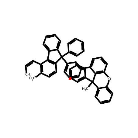 C/C=C\c1c(C)ccc2c1-c1ccccc1C2(c1ccccc1)c1cccc(-c2cccc3c2C(C)(c2ccccc2)c2ccccc2O3)c1